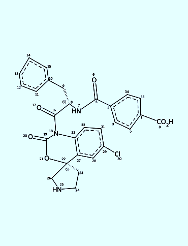 O=C(O)c1ccc(C(=O)N[C@@H](Cc2ccccc2)C(=O)N2C(=O)O[C@@]3(CCNC3)c3cc(Cl)ccc32)cc1